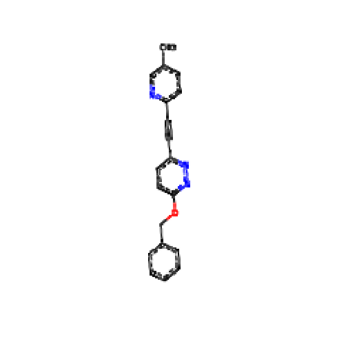 O=Cc1ccc(C#Cc2ccc(OCc3ccccc3)nn2)nc1